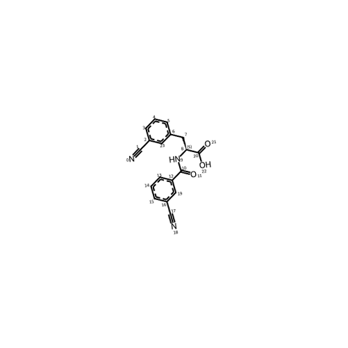 N#Cc1cccc(C[C@H](NC(=O)c2cccc(C#N)c2)C(=O)O)c1